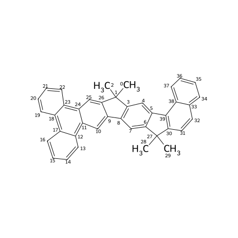 CC1(C)c2cc3c(cc2-c2cc4c5ccccc5c5ccccc5c4cc21)C(C)(C)c1ccc2ccccc2c1-3